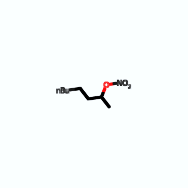 CCCCCCC(C)O[N+](=O)[O-]